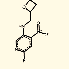 O=[N+]([O-])c1cc(Br)ncc1NCC1CCO1